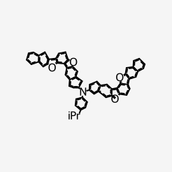 CC(C)c1ccc(N(c2ccc3cc4c(cc3c2)oc2ccc3c5cc6ccccc6cc5oc3c24)c2ccc3cc4c(cc3c2)oc2ccc3c5cc6ccccc6cc5oc3c24)cc1